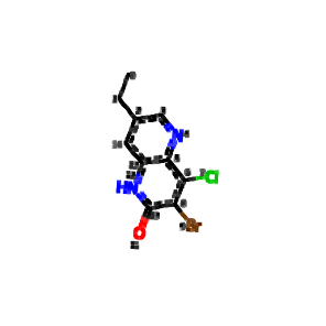 CCc1cnc2c(Cl)c(Br)c(=O)[nH]c2c1